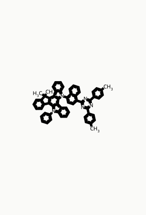 Cc1ccc(-c2nc(-c3ccc(C)cc3)nc(-c3ccc(-n4c5ccccc5c5c6c(c7c(c8ccccc8n7-c7ccccc7)c54)-c4ccccc4C6(C)C)c4ccccc34)n2)cc1